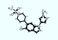 Cn1cc(-n2ncc3cc(Cl)c(C4CCN(S(C)(=O)=O)CC4)cc32)cn1